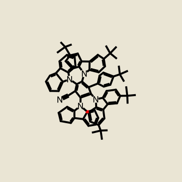 CC(C)(C)c1ccc(-c2c(-n3c4ccc(C(C)(C)C)cc4c4cc(C(C)(C)C)ccc43)c(-n3c4ccccc4c4ccccc43)c(C#N)c(-n3c4ccccc4c4ccccc43)c2-n2c3ccc(C(C)(C)C)cc3c3cc(C(C)(C)C)ccc32)cc1